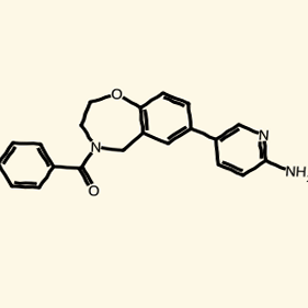 Nc1ccc(-c2ccc3c(c2)CN(C(=O)c2ccccc2)CCO3)cn1